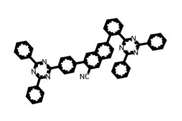 N#Cc1cc2ccc(-c3ccccc3-c3nc(-c4ccccc4)nc(-c4ccccc4)n3)cc2cc1-c1ccc(-c2nc(-c3ccccc3)nc(-c3ccccc3)n2)cc1